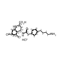 Cl.NCCCCc1ccc(CC(=O)N[C@H]2C[C@H](C(=O)O)Nc3cc(Cl)cc(Cl)c32)cc1